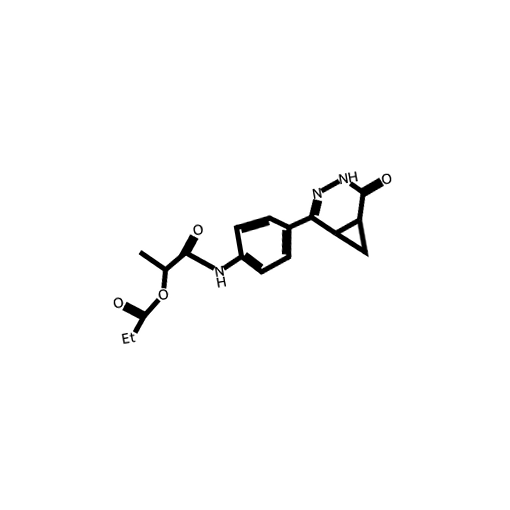 CCC(=O)OC(C)C(=O)Nc1ccc(C2=NNC(=O)C3CC23)cc1